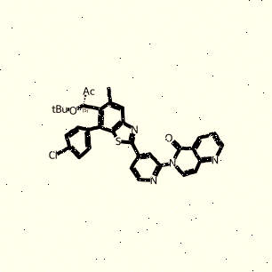 CC(=O)[C@@H](OC(C)(C)C)c1c(C)cc2nc(-c3ccnc(-n4ccc5ncccc5c4=O)c3)sc2c1-c1ccc(Cl)cc1